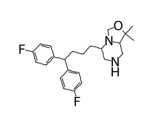 CC1(C)OCN2C(CCCC(c3ccc(F)cc3)c3ccc(F)cc3)CNCC21